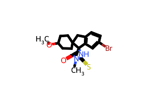 COC1CCC2(CC1)Cc1ccc(Br)cc1C21CC(=O)N(C)C(=S)N1